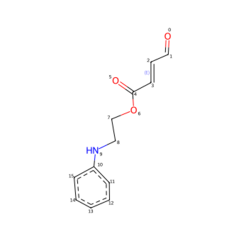 O=C/C=C/C(=O)OCCNc1ccccc1